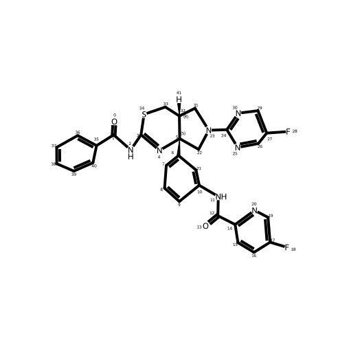 O=C(NC1=N[C@@]2(c3cccc(NC(=O)c4ccc(F)cn4)c3)CN(c3ncc(F)cn3)C[C@H]2CS1)c1ccccc1